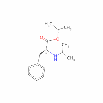 CC(C)N[C@@H](Cc1ccccc1)C(=O)OC(C)C